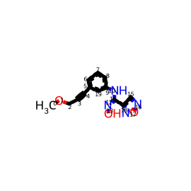 COCC#Cc1cccc(NC(=NO)c2cnon2)c1